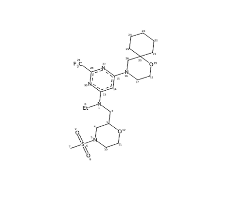 CCN(CC1CN(S(C)(=O)=O)CCO1)c1cc(N2CCOC3(CCCCC3)C2)nc(C(F)(F)F)n1